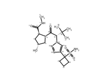 CNC(=O)[C@@H]1C[C@@H](O)CN1C(=O)[C@@H](n1cc(C2(S(N)(=O)=O)CCC2)nn1)C(C)(C)C